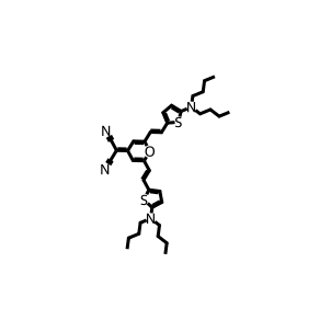 CCCCN(CCCC)c1ccc(C=CC2=CC(=C(C#N)C#N)C=C(C=Cc3ccc(N(CCCC)CCCC)s3)O2)s1